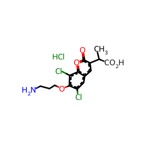 CC(C(=O)O)c1cc2cc(Cl)c(OCCCN)c(Cl)c2oc1=O.Cl